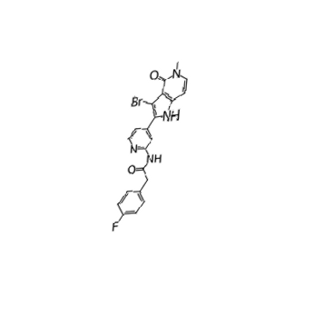 Cn1ccc2[nH]c(-c3ccnc(NC(=O)Cc4ccc(F)cc4)c3)c(Br)c2c1=O